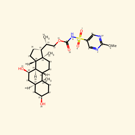 COc1ncc(S(=O)(=O)NC(=O)OC[C@@H](C)[C@H]2CC[C@H]3[C@@H]4[C@H](O)C[C@@H]5C[C@H](O)CC[C@]5(C)[C@H]4CC[C@]23C)cn1